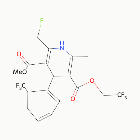 COC(=O)C1=C(CF)NC(C)=C(C(=O)OCC(F)(F)F)C1c1ccccc1C(F)(F)F